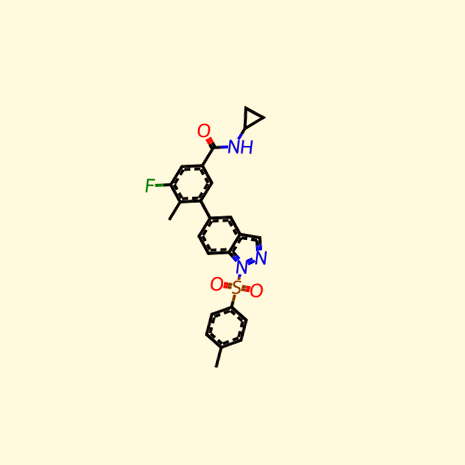 Cc1ccc(S(=O)(=O)n2ncc3cc(-c4cc(C(=O)NC5CC5)cc(F)c4C)ccc32)cc1